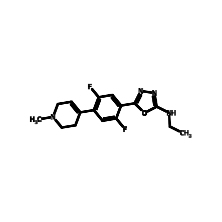 CCNc1nnc(-c2cc(F)c(C3=CCN(C)CC3)cc2F)o1